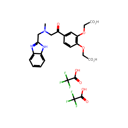 CN(CC(=O)c1ccc(OCC(=O)O)c(OCC(=O)O)c1)Cc1nc2ccccc2[nH]1.O=C(O)C(F)(F)F.O=C(O)C(F)(F)F